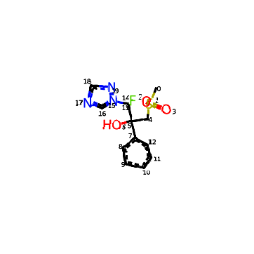 CS(=O)(=O)CC(O)(c1ccccc1)C(F)n1cncn1